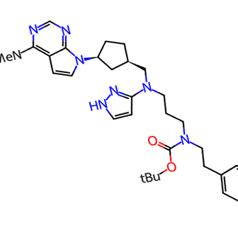 CNc1ncnc2c1ccn2[C@H]1CC[C@@H](CN(CCCN(CCc2ccccc2)C(=O)OC(C)(C)C)c2cc[nH]n2)C1